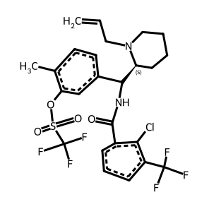 C=CCN1CCCC[C@H]1C(NC(=O)c1cccc(C(F)(F)F)c1Cl)c1ccc(C)c(OS(=O)(=O)C(F)(F)F)c1